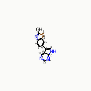 Cc1nc2ccc(-c3c[nH]c4ncncc34)cc2s1